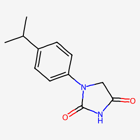 CC(C)c1ccc(N2CC(=O)NC2=O)cc1